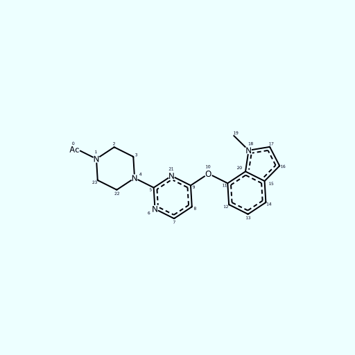 CC(=O)N1CCN(c2nccc(Oc3cccc4ccn(C)c34)n2)CC1